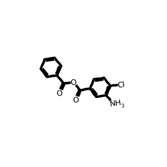 Nc1cc(C(=O)OC(=O)c2ccccc2)ccc1Cl